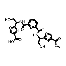 COC(=O)c1coc(C(CO)NC(=O)c2cccc(C(=O)NC(CO)c3nc(C(=O)O)co3)n2)n1